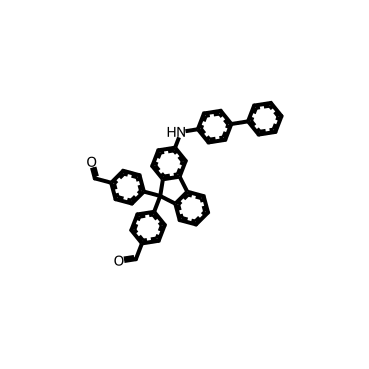 O=Cc1ccc(C2(c3ccc(C=O)cc3)c3ccccc3-c3cc(Nc4ccc(-c5ccccc5)cc4)ccc32)cc1